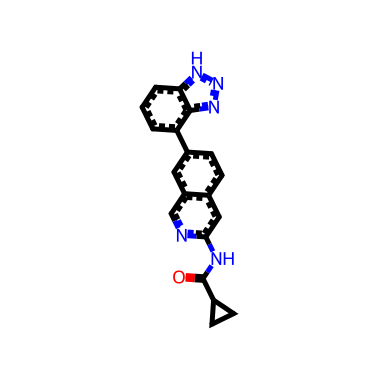 O=C(Nc1cc2ccc(-c3cccc4[nH]nnc34)cc2cn1)C1CC1